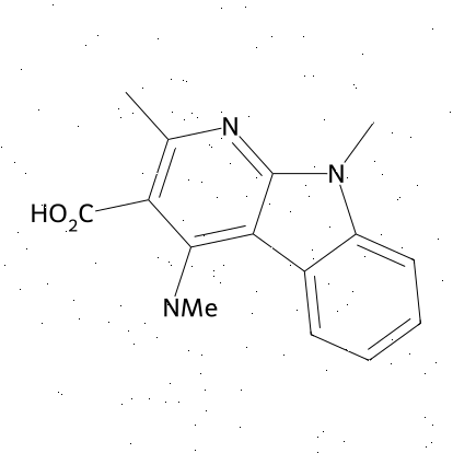 CNc1c(C(=O)O)c(C)nc2c1c1ccccc1n2C